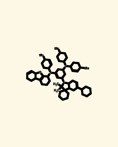 CC(C)(C)C1C=CC(N(C2=CC(N3C4CC=C(C5CCCCC5)CC4C4(CCCCC4)C3(C)C)CC(N(C3C=CC(C(C)(C)C)CC3)C3CCC(C(C)(C)C)CC3)C2)C2CCCC3=C2OC2C=CCCC32)CC1